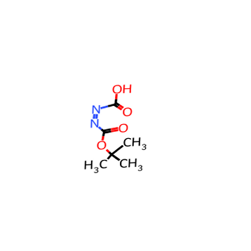 CC(C)(C)OC(=O)/N=N\C(=O)O